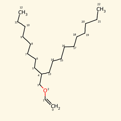 C=COCC(CCCCCCCC)CCCCCCCCCC